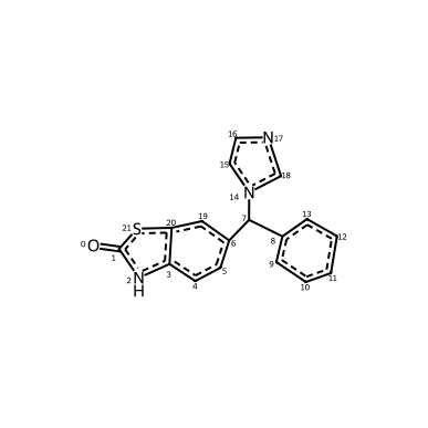 O=c1[nH]c2ccc(C(c3ccccc3)n3ccnc3)cc2s1